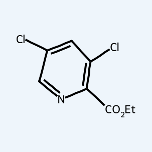 CCOC(=O)c1ncc(Cl)cc1Cl